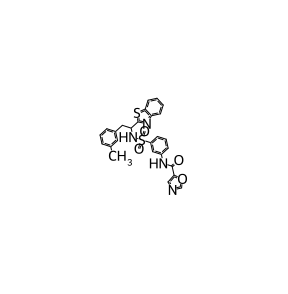 Cc1cccc(CC(NS(=O)(=O)c2cccc(NC(=O)c3cnco3)c2)c2nc3ccccc3s2)c1